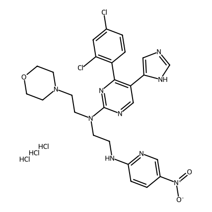 Cl.Cl.Cl.O=[N+]([O-])c1ccc(NCCN(CCN2CCOCC2)c2ncc(-c3cnc[nH]3)c(-c3ccc(Cl)cc3Cl)n2)nc1